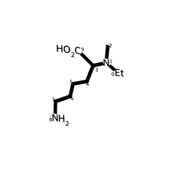 CCN(C)C(CCCCN)C(=O)O